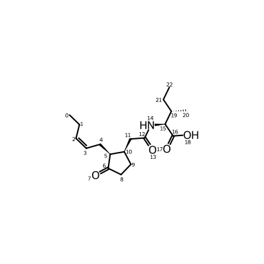 CC/C=C\C[C@@H]1C(=O)CC[C@@H]1CC(=O)N[C@H](C(=O)O)[C@@H](C)CC